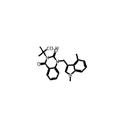 Cc1cccc2c1c(Cn1c(=O)n(C(C)(C)C(=O)O)c(=O)c3ccccc31)cn2C